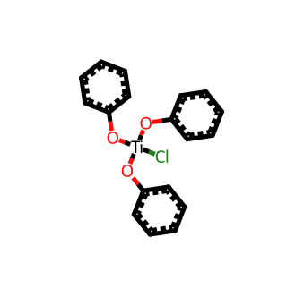 [Cl][Ti]([O]c1ccccc1)([O]c1ccccc1)[O]c1ccccc1